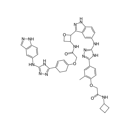 Cc1cc(-c2nnc(Nc3ccc4[nH]nc(C5OCC5NC(=O)COC5=CC=C(c6nnc(Nc7ccc8[nH]ncc8c7)[nH]6)CC5)c4c3)[nH]2)ccc1OCC(=O)NC1CCC1